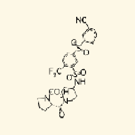 N#Cc1cccc(S(=O)(=O)c2ccc(C(F)(F)F)c(S(=O)(=O)NC3CCN(C(=O)[C@@H]4CCCN4C(=O)O)CC3)c2)c1